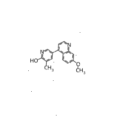 COc1ccc2c(-c3cnc(O)c(C)c3)ccnc2c1